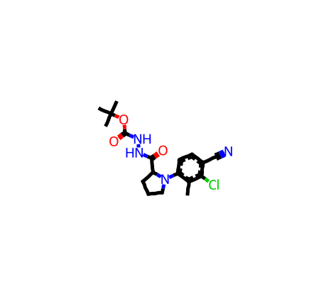 Cc1c(N2CCCC2C(=O)NNC(=O)OC(C)(C)C)ccc(C#N)c1Cl